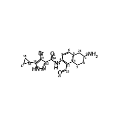 NC1CCc2c(ccc(NC(=O)c3n[nH]c(C4CC4)c3Br)c2C=O)C1